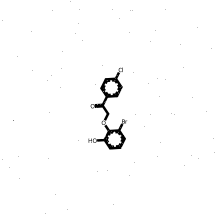 O=C(COc1c(O)cccc1Br)c1ccc(Cl)cc1